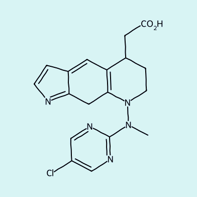 CN(c1ncc(Cl)cn1)N1CCC(CC(=O)O)C2=C1CC1=NC=CC1=C2